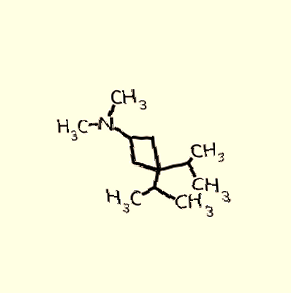 CC(C)C1(C(C)C)CC(N(C)C)C1